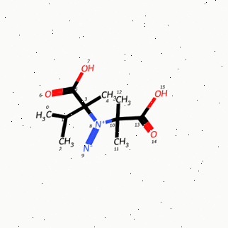 CC(C)C(C)(C(=O)O)[N+](=[N-])C(C)(C)C(=O)O